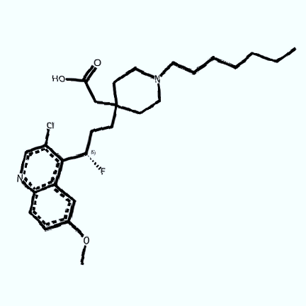 CCCCCCCN1CCC(CC[C@H](F)c2c(Cl)cnc3ccc(OC)cc23)(CC(=O)O)CC1